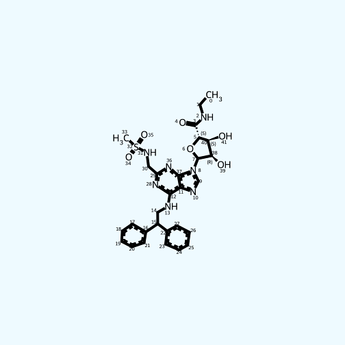 CCNC(=O)[C@H]1OC(n2cnc3c(NCC(c4ccccc4)c4ccccc4)nc(CNS(C)(=O)=O)nc32)[C@H](O)[C@@H]1O